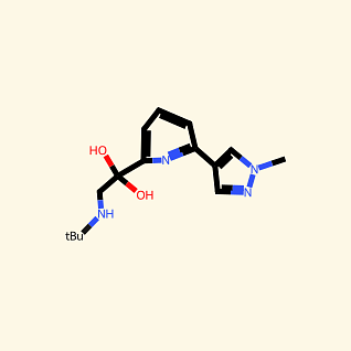 Cn1cc(-c2cccc(C(O)(O)CNC(C)(C)C)n2)cn1